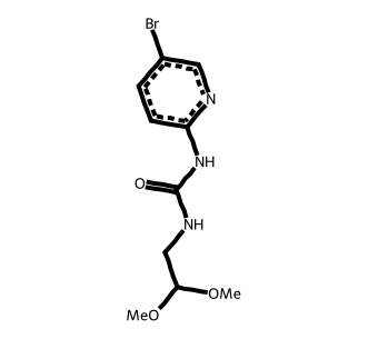 COC(CNC(=O)Nc1ccc(Br)cn1)OC